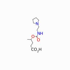 CC(CCC(=O)O)OC(=O)NCCN1CCCC1